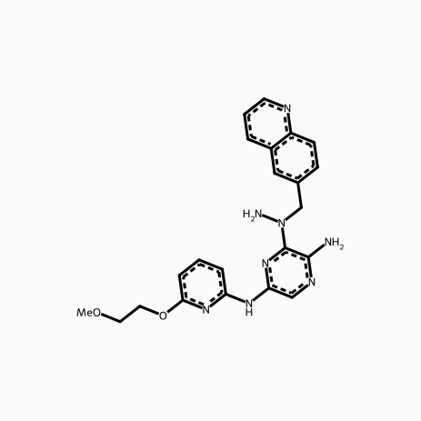 COCCOc1cccc(Nc2cnc(N)c(N(N)Cc3ccc4ncccc4c3)n2)n1